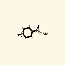 CON(C)C1CCN(C)CC1